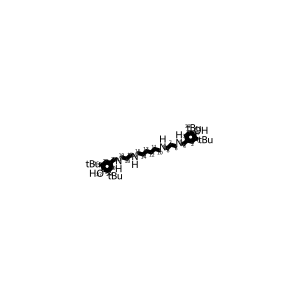 CC(C)(C)c1cc(CNCCCNCCCCCCNCCCNCc2cc(C(C)(C)C)c(O)c(C(C)(C)C)c2)cc(C(C)(C)C)c1O